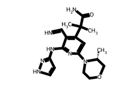 C[C@@H]1COCCN1c1cc(C(C)(C)C(N)=O)c(C=N)c(Nc2cc[nH]n2)n1